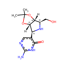 CC1(C)O[C@@H]2[C@H](O1)[C@@H](CO)N[C@H]2c1cnc(N)[nH]c1=O